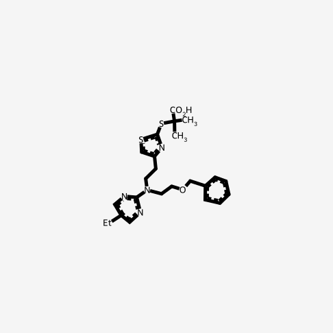 CCc1cnc(N(CCOCc2ccccc2)CCc2csc(SC(C)(C)C(=O)O)n2)nc1